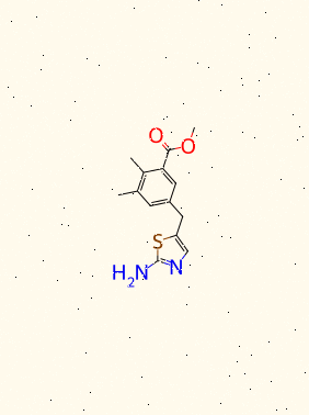 COC(=O)c1cc(Cc2cnc(N)s2)cc(C)c1C